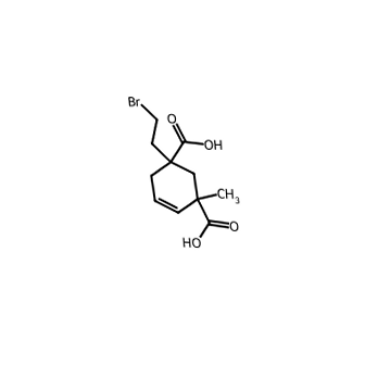 CC1(C(=O)O)C=CCC(CCBr)(C(=O)O)C1